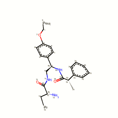 CCCC(C)COc1ccc([C@H](CNC(=O)[C@H](N)CC(C)C)NC(=O)[C@@H](C)c2ccccc2)cc1